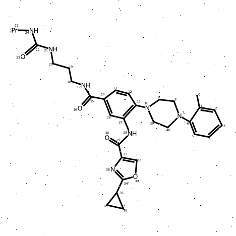 Cc1ccccc1N1CCN(c2ccc(C(=O)NCCCNC(=O)NC(C)C)cc2NC(=O)c2coc(C3CC3)n2)CC1